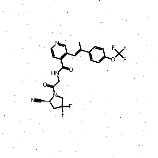 C/C(=C\c1cnccc1C(=O)NCC(=O)N1CC(F)(F)C[C@H]1C#N)c1ccc(OC(F)(F)F)cc1